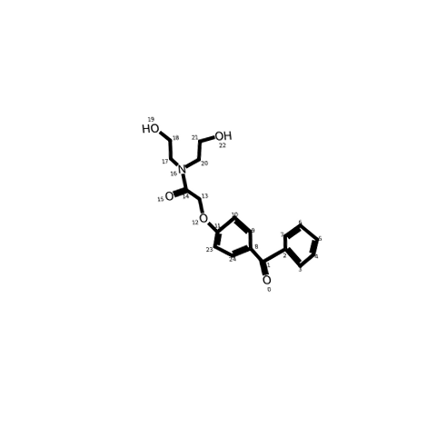 O=C(c1ccccc1)c1ccc(OCC(=O)N(CCO)CCO)cc1